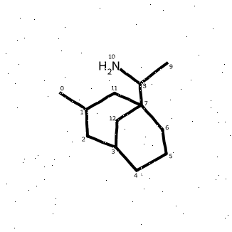 CC1CC2CCCC(C(C)N)(C1)C2